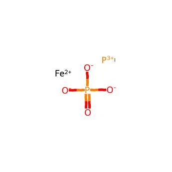 O=P([O-])([O-])[O-].[Fe+2].[P+3]